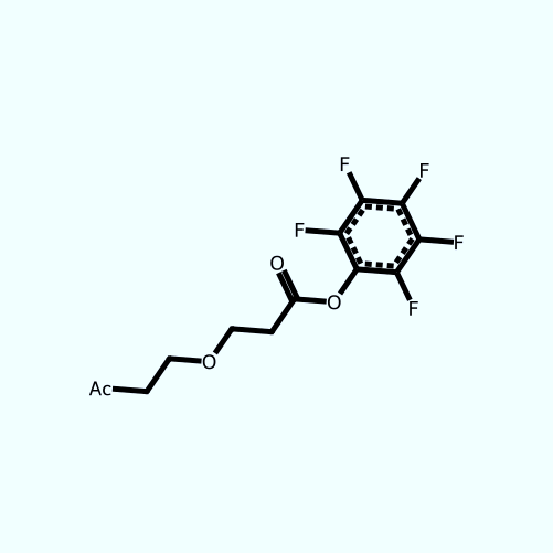 CC(=O)CCOCCC(=O)Oc1c(F)c(F)c(F)c(F)c1F